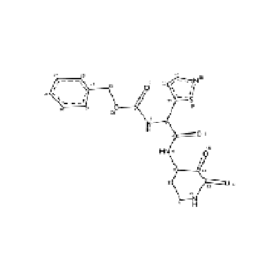 O=C(NC(C(=O)NC1CCNC(=O)C1=O)c1ccns1)OCc1ccccc1